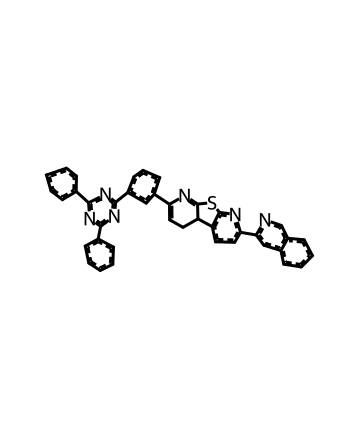 C1=C(c2cccc(-c3nc(-c4ccccc4)nc(-c4ccccc4)n3)c2)N=C2Sc3nc(-c4cc5ccccc5cn4)ccc3C2C1